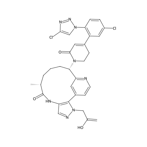 C=C(O)Cn1ncc2c1-c1ccnc(c1)[C@@H](N1CCC(c3cc(Cl)ccc3-n3cc(Cl)nn3)=CC1=O)CCC[C@@H](C)C(=O)N2